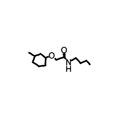 CCCCNC(=O)COC1CCCC(C)C1